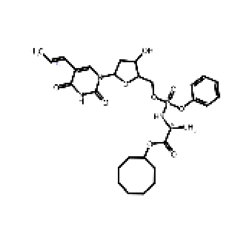 C/C=C/c1cn(C2CC(O)C(COP(=O)(N[C@@H](C)C(=O)OC3CCCCCCC3)Oc3ccccc3)O2)c(=O)[nH]c1=O